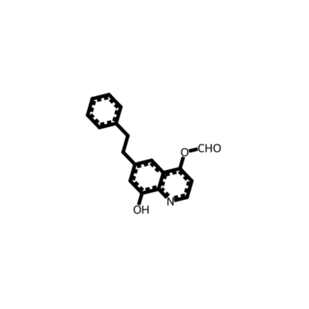 O=COc1ccnc2c(O)cc(CCc3ccccc3)cc12